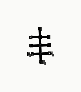 C[Si](C)(C)[Si](Cl)(Cl)[Si](Cl)(Cl)Cl